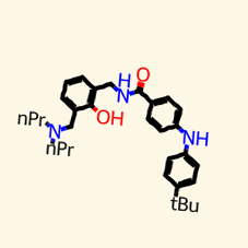 CCCN(CCC)Cc1cccc(CNC(=O)c2ccc(Nc3ccc(C(C)(C)C)cc3)cc2)c1O